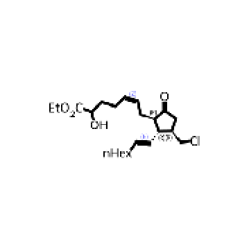 CCCCCC/C=C/[C@H]1[C@H](CCl)CC(=O)[C@@H]1C/C=C\CCC(O)C(=O)OCC